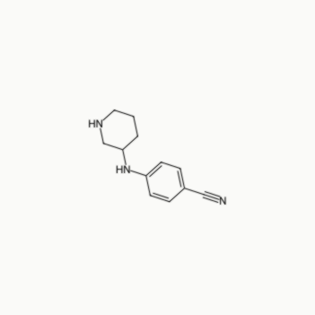 N#Cc1ccc(NC2CCCNC2)cc1